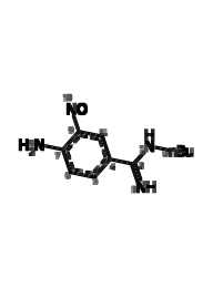 CCCCNC(=N)c1ccc(N)c(N=O)c1